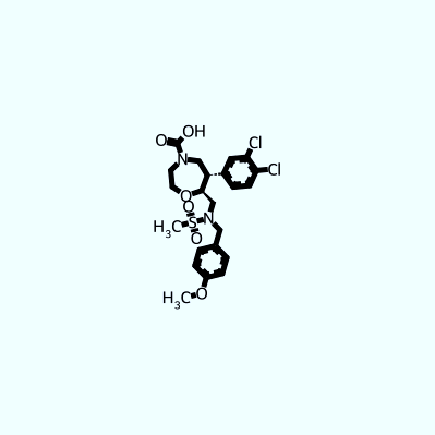 COc1ccc(CN(C[C@H]2OCCN(C(=O)O)C[C@@H]2c2ccc(Cl)c(Cl)c2)S(C)(=O)=O)cc1